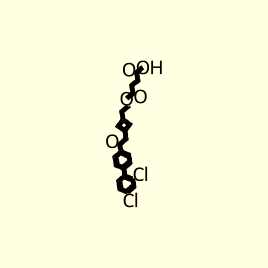 O=C(O)CCC(=O)OCCC1CC(CC(=O)c2ccc(-c3ccc(Cl)cc3Cl)cc2)C1